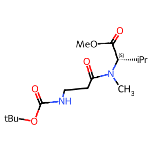 COC(=O)[C@H](C(C)C)N(C)C(=O)CCNC(=O)OC(C)(C)C